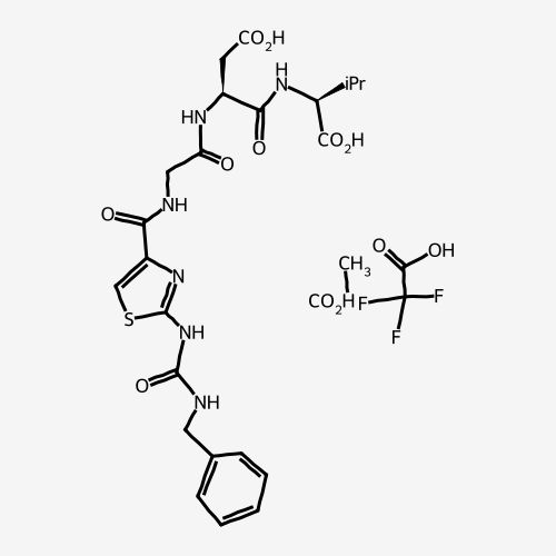 CC(=O)O.CC(C)[C@H](NC(=O)[C@H](CC(=O)O)NC(=O)CNC(=O)c1csc(NC(=O)NCc2ccccc2)n1)C(=O)O.O=C(O)C(F)(F)F